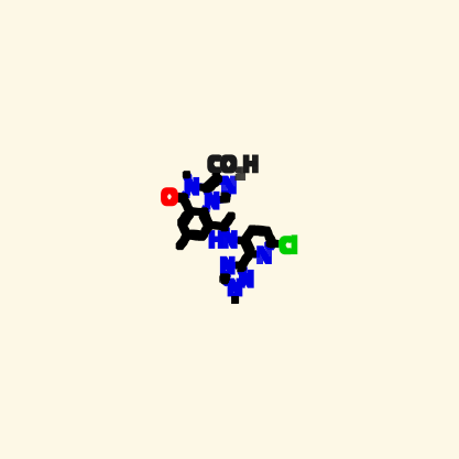 Cc1cc(C(C)Nc2ccc(Cl)nc2-c2ncn(C)n2)c2c(c1)c(=O)n(C)c1c(C(=O)O)ncn21